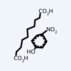 O=C(O)CCCCCCCCC(=O)O.O=[N+]([O-])c1ccc(O)cc1